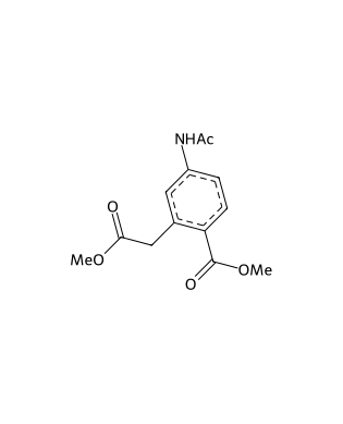 COC(=O)Cc1cc(NC(C)=O)ccc1C(=O)OC